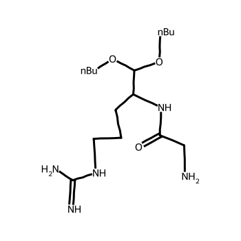 CCCCOC(OCCCC)C(CCCNC(=N)N)NC(=O)CN